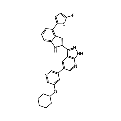 Fc1ccc(-c2cccc3[nH]c(-c4n[nH]c5ncc(-c6cncc(OC7CCCCC7)c6)cc45)cc23)s1